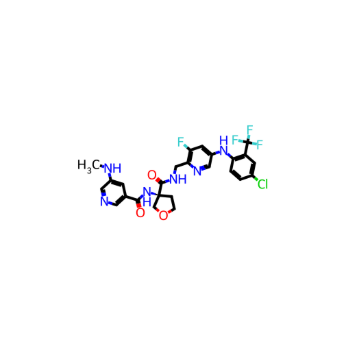 CNc1cncc(C(=O)N[C@@]2(C(=O)NCc3ncc(Nc4ccc(Cl)cc4C(F)(F)F)cc3F)CCOC2)c1